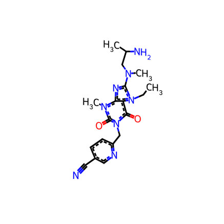 CCn1c(N(C)CC(C)N)nc2c1c(=O)n(Cc1ccc(C#N)cn1)c(=O)n2C